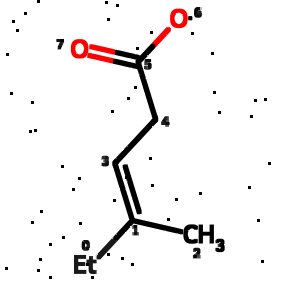 CCC(C)=CCC([O])=O